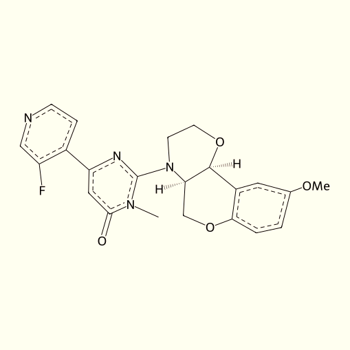 COc1ccc2c(c1)[C@@H]1OCCN(c3nc(-c4ccncc4F)cc(=O)n3C)[C@@H]1CO2